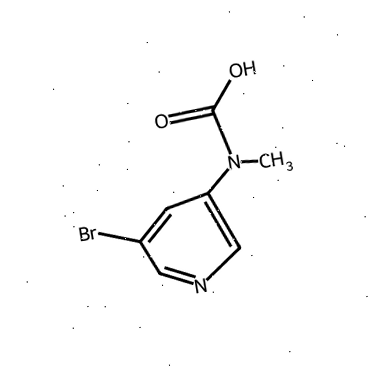 CN(C(=O)O)c1cncc(Br)c1